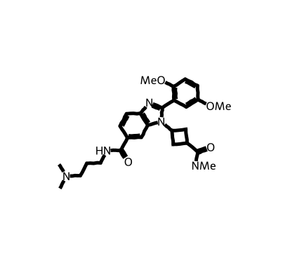 CNC(=O)C1CC(n2c(-c3cc(OC)ccc3OC)nc3ccc(C(=O)NCCCN(C)C)cc32)C1